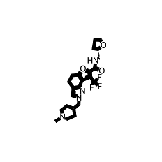 CN1CCC(Cn2cc3c(n2)-c2c(oc(C(=O)NC[C@@H]4CCCO4)c2C(F)(F)F)CC3)CC1